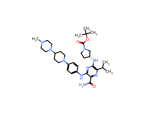 CC(C)c1nc(C(N)=O)c(Nc2ccc(N3CCC(N4CCN(C)CC4)CC3)cc2)nc1N[C@@H]1CCN(C(=O)OC(C)(C)C)C1